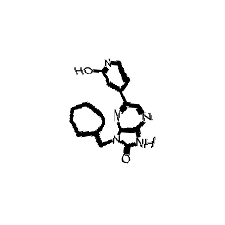 O=c1[nH]c2ncc(-c3ccnc(O)c3)nc2n1CC1CCCCC1